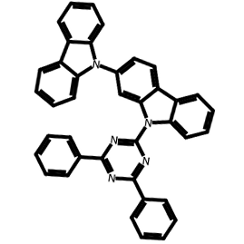 c1ccc(-c2nc(-c3ccccc3)nc(-n3c4ccccc4c4ccc(-n5c6ccccc6c6ccccc65)cc43)n2)cc1